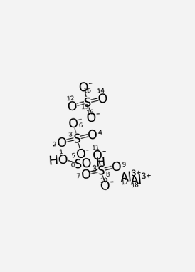 O=S(=O)(O)O.O=S(=O)([O-])[O-].O=S(=O)([O-])[O-].O=S(=O)([O-])[O-].[Al+3].[Al+3]